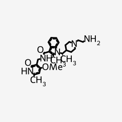 COc1cc(C)[nH]c(=O)c1CNC(=O)c1c(C)n([C@@H](C)C2CCN(CCN)CC2)c2ccccc12